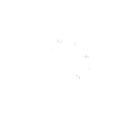 O=C(Nc1ccccc1)c1ccc(C(=O)Nc2ccccc2)c(O)c1O